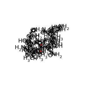 CC(C)[C@H](NC(=O)[C@H](CO)NC(=O)[C@H](CC(N)=O)NC(=O)[C@H](Cc1c[nH]c2ccccc12)NC(=O)[C@H](CC(=O)O)NC(=O)[C@@H](N)Cc1ccccc1)C(=O)N[C@H](C(=O)N[C@@H](CS)C(=O)N[C@@H](CCC(N)=O)C(=O)N[C@@H](CCC(N)=O)C(=O)N[C@@H](CO)C(=O)N[C@@H](C)C(=O)N[C@H](C(=O)N[C@@H](CCC(N)=O)C(=O)N[C@@H](CCCNC(=N)N)C(=O)O)[C@@H](C)O)C(C)C